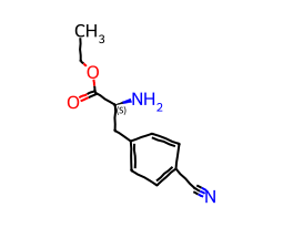 CCOC(=O)[C@@H](N)Cc1ccc(C#N)cc1